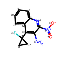 Nc1c([N+](=O)[O-])nc2ccccc2c1C1(F)CC1